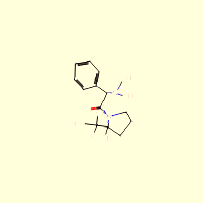 CN(C)[C@@H](C(=O)N1CCCC1(C)C(C)(C)C)c1ccccc1